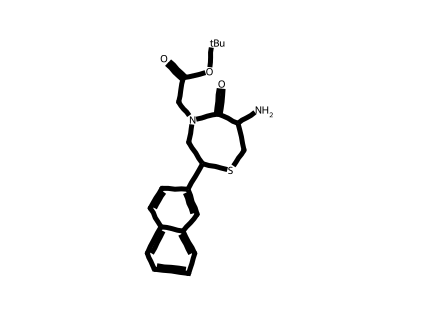 CC(C)(C)OC(=O)CN1CC(c2ccc3ccccc3c2)SCC(N)C1=O